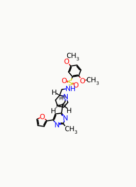 COc1ccc(OC)c(S(=O)(=O)NC[C@H]2C[C@@H]3CC[N@@]2C[C@@H]3c2cc(-c3ccco3)nc(C)n2)c1